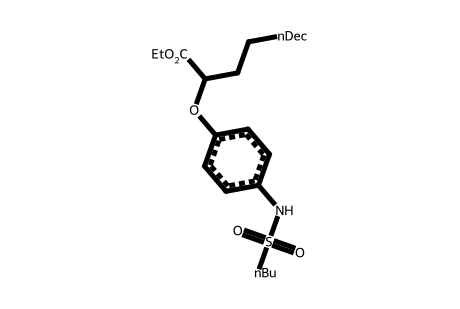 CCCCCCCCCCCCC(Oc1ccc(NS(=O)(=O)CCCC)cc1)C(=O)OCC